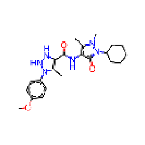 COc1ccc(N2NNC(C(=O)Nc3c(C)n(C)n(C4CCCCC4)c3=O)=C2C)cc1